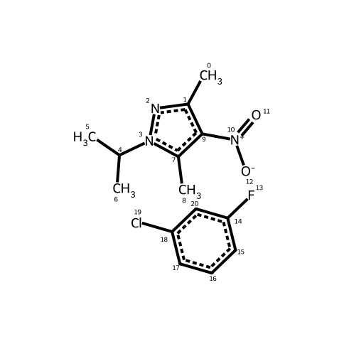 Cc1nn(C(C)C)c(C)c1[N+](=O)[O-].Fc1cccc(Cl)c1